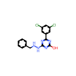 Oc1nc(NNCc2ccccc2)nc(-c2cc(Cl)cc(Cl)c2)n1